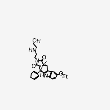 CCOc1ccc2[nH]c3c(c2c1)C[C@@]1(C)C(=O)N(CCNCCO)C(=O)N1[C@@H]3C1=CCCC=C1